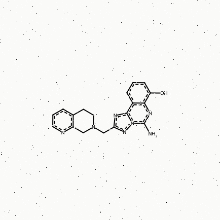 Nc1nc2c(O)cccc2c2nc(CN3CCc4cccnc4C3)nn12